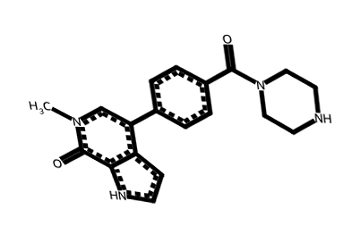 Cn1cc(-c2ccc(C(=O)N3CCNCC3)cc2)c2cc[nH]c2c1=O